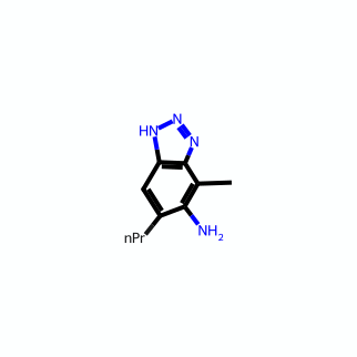 CCCc1cc2[nH]nnc2c(C)c1N